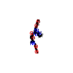 COCCOCCn1cc(-c2ccc(C(=O)Nc3cn(CCOCCOC)nc3-c3ccccn3)o2)cn1